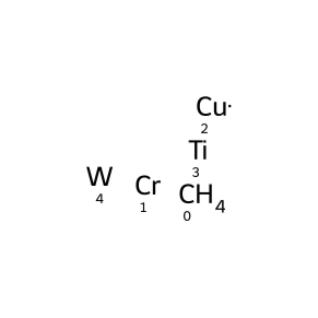 C.[Cr].[Cu].[Ti].[W]